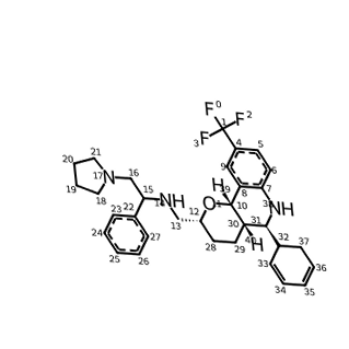 FC(F)(F)c1ccc2c(c1)[C@H]1O[C@@H](CNC(CN3CCCC3)c3ccccc3)CC[C@H]1[C@H](C1C=CC=CC1)N2